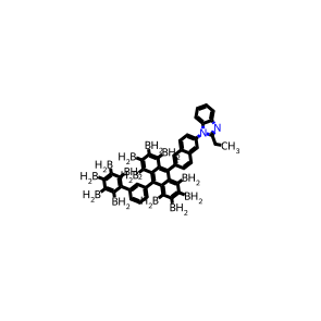 Bc1c(B)c(B)c(-c2cccc(-c3c4c(B)c(B)c(B)c(B)c4c(-c4ccc5cc(-n6c(CC)nc7ccccc76)ccc5c4)c4c(B)c(B)c(B)c(B)c34)c2)c(B)c1B